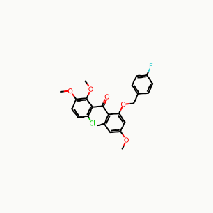 COc1cc(C)c(C(=O)c2c(Cl)ccc(OC)c2OC)c(OCc2ccc(F)cc2)c1